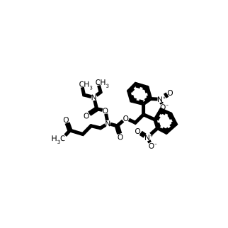 CCN(CC)C(=O)ON(CCCC(C)=O)C(=O)OCC(c1ccccc1[N+](=O)[O-])c1ccccc1[N+](=O)[O-]